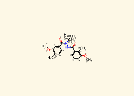 COc1cc(C(=O)N(NC(=O)c2cccc(OC)c2C)C(C)(C)C)ccc1C